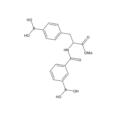 COC(=O)C(Cc1ccc(B(O)O)cc1)NC(=O)c1cccc(B(O)O)c1